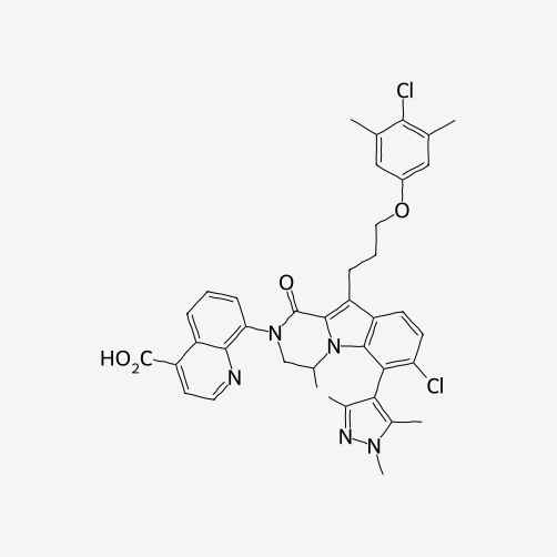 Cc1cc(OCCCc2c3n(c4c(-c5c(C)nn(C)c5C)c(Cl)ccc24)C(C)CN(c2cccc4c(C(=O)O)ccnc24)C3=O)cc(C)c1Cl